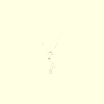 CCCCCCCCCCCCCCCC(=O)OCCCNC(=O)C(COP(=O)(O)OCCNC(=O)[C@@H](NC(=O)Cc1c[nH]c2ccccc12)[C@@H](C)CC)NC(=O)CCCCCCCCCCC